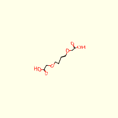 O=C(O)COCCCCOCC(=O)O